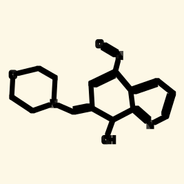 O=NC1=CC(=CN2CCOCC2)C(O)c2ncccc21